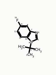 CC(C)(C)n1cnc2cc(F)ccc21